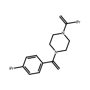 C=C(c1ccc(C(C)C)cc1)N1CCN(C(=C)C(C)C)CC1